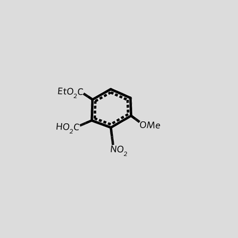 CCOC(=O)c1ccc(OC)c([N+](=O)[O-])c1C(=O)O